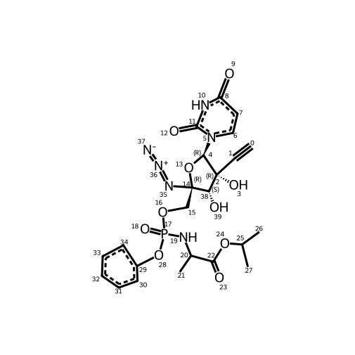 C#C[C@]1(O)[C@H](n2ccc(=O)[nH]c2=O)O[C@@](COP(=O)(NC(C)C(=O)OC(C)C)Oc2ccccc2)(N=[N+]=[N-])[C@H]1O